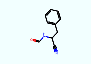 N#CC(Cc1ccccc1)NC=O